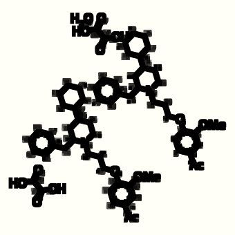 COc1cc(C(C)=O)ccc1OCCCN1CCC(C2CCCCC2)CC1Cc1ccccc1.COc1cc(C(C)=O)ccc1OCCCN1CCC(C2CCCCC2)CC1Cc1ccccc1.O.O=C(O)C(=O)O.O=C(O)C(=O)O